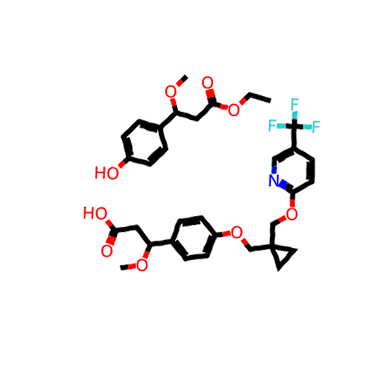 CCOC(=O)CC(OC)c1ccc(O)cc1.COC(CC(=O)O)c1ccc(OCC2(COc3ccc(C(F)(F)F)cn3)CC2)cc1